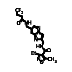 CCc1noc(C)c1C(=O)NCc1cn2ncc(CNC(=O)CCC(F)(F)F)cc2n1